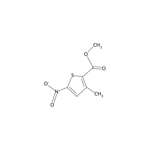 COC(=O)c1sc([N+](=O)[O-])cc1C